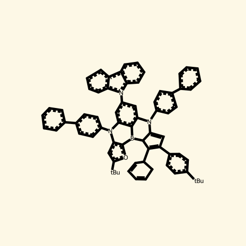 CC(C)(C)c1ccc(C2=C(C3C=CC=CC3)C3B4c5oc(C(C)(C)C)cc5N(c5ccc(-c6ccccc6)cc5)c5cc(-n6c7ccccc7c7ccccc76)cc(c54)N(c4ccc(-c5ccccc5)cc4)C3=C2)cc1